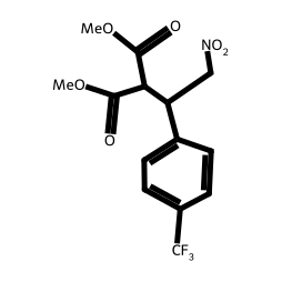 COC(=O)C(C(=O)OC)C(C[N+](=O)[O-])c1ccc(C(F)(F)F)cc1